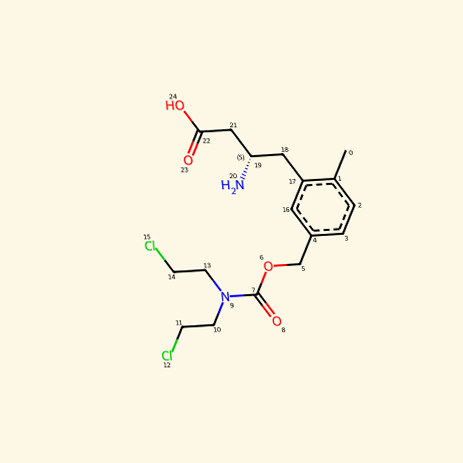 Cc1ccc(COC(=O)N(CCCl)CCCl)cc1C[C@H](N)CC(=O)O